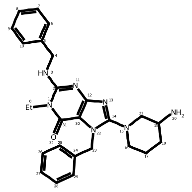 CCn1c(NCc2ccccc2)nc2nc(N3CCCC(N)C3)n(Cc3ccccc3)c2c1=O